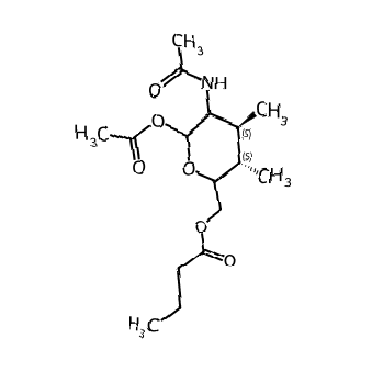 CCCC(=O)OCC1OC(OC(C)=O)C(NC(C)=O)[C@@H](C)[C@@H]1C